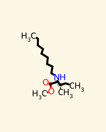 CCCCCCCCCN[C@H](C(=O)OC)[C@@H](C)CC